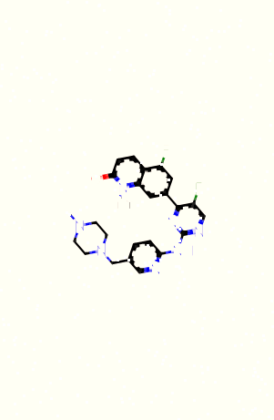 CC(C)n1c(=O)ccc2c(F)cc(-c3nc(Nc4ccc(CN5CCN(C)CC5)cn4)ncc3F)cc21